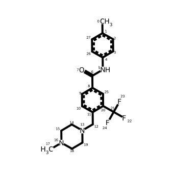 Cc1ccc(NC(=O)c2ccc(CN3CCN(C)CC3)c(C(F)(F)F)c2)cc1